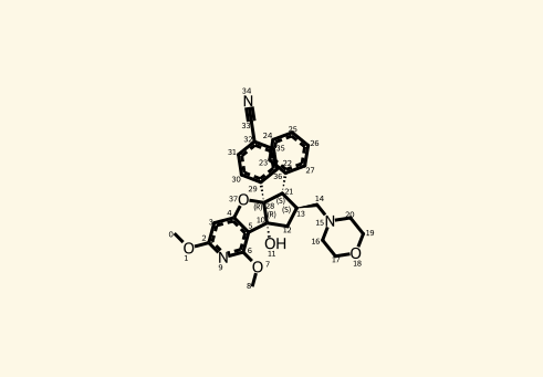 COc1cc2c(c(OC)n1)[C@]1(O)C[C@H](CN3CCOCC3)[C@@H](c3ccccc3)[C@]1(c1ccc(C#N)cc1)O2